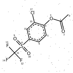 CC(=O)Oc1ccc(S(=O)(=O)C(F)(F)F)cc1Cl